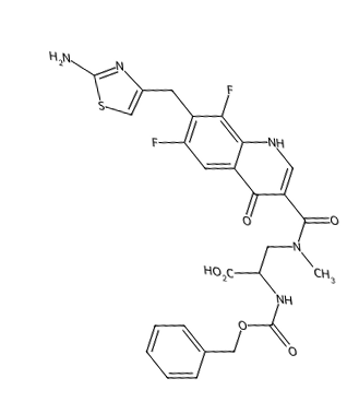 CN(CC(NC(=O)OCc1ccccc1)C(=O)O)C(=O)c1c[nH]c2c(F)c(Cc3csc(N)n3)c(F)cc2c1=O